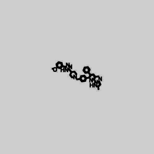 COc1cccc(-c2nnc(C3CCN(Cc4ccc(-c5nc6c(cc5-c5ccccc5)C=NC5=CC(C)NN56)cc4)CC3)[nH]2)c1